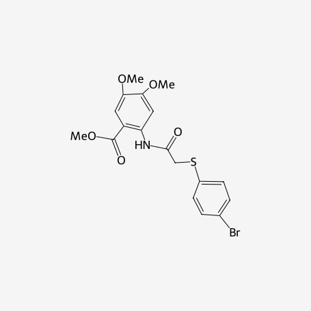 COC(=O)c1cc(OC)c(OC)cc1NC(=O)CSc1ccc(Br)cc1